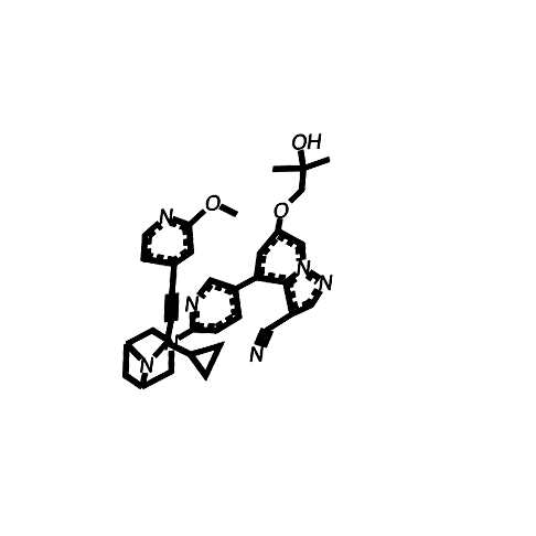 COc1cc(C#CC(C2CC2)N2C3CC2CN(c2ccc(-c4cc(OCC(C)(C)O)cn5ncc(C#N)c45)cn2)C3)ccn1